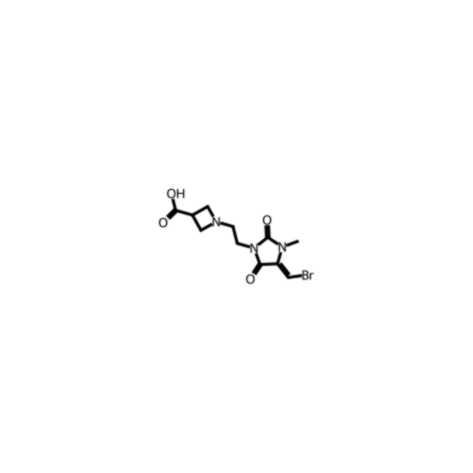 CN1C(=O)N(CCN2CC(C(=O)O)C2)C(=O)/C1=C/Br